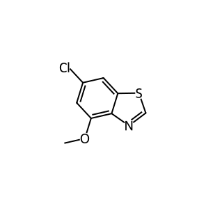 COc1cc(Cl)cc2scnc12